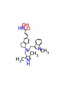 Cc1c[nH]c(C)c1CN(CCc1cn(C)c2ccccc12)C1CCc2cc(C=CC(=O)NO)ccc21